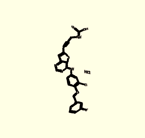 Cl.O=C(O)NCC#Cc1cc2ncnc(Nc3ccc(OCc4cccc(F)c4)c(Cl)c3)c2s1